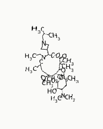 CCN1C[C@H](C)C[C@@](C)(OC)[C@H](O[C@@H]2O[C@H](C)C[C@H](N(C)C)[C@H]2O)[C@@H](C)C(=O)C(C)(C)C(=O)OCC1C1CN(CC(C)C)C1